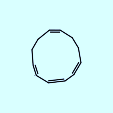 [C]1=CCCC=CCCC=CC=C1